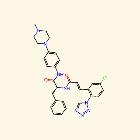 CN1CCN(c2ccc(NC(=O)[C@H](Cc3ccccc3)NC(=O)/C=C/c3cc(Cl)ccc3-n3cnnn3)cc2)CC1